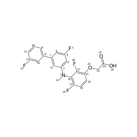 CN(c1cc(F)cc(-c2cccc(F)c2)c1)c1c(F)ccc(OCC(=O)O)c1F